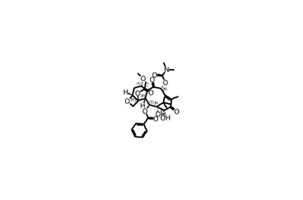 CO[C@H]1C[C@H]2OC[C@@]2(OC(C)=O)[C@H]2[C@H](OC(=O)c3ccccc3)[C@]3(O)[C@@H](O)C(=O)C(C)=C([C@@H](OC(=O)N(C)C)C(=O)[C@]12C)C3(C)C